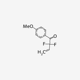 C=CC(F)(F)C(=O)c1ccc(OC)cc1